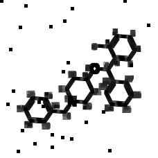 Cc1ccccc1C(OC1CCN(Cc2ccccc2)CC1)c1ccccc1